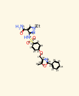 CCn1cc(C(N)=O)c(NS(=O)(=O)c2ccc(OCc3nc(-c4ccccc4)oc3C)cc2)n1